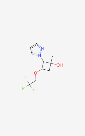 CC1(O)CC(OCC(F)(F)F)C1n1cccn1